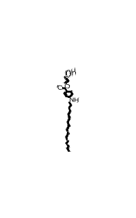 CCCCCCCCCCCCCCCCNc1ccc(C(=O)OCCCO)cc1